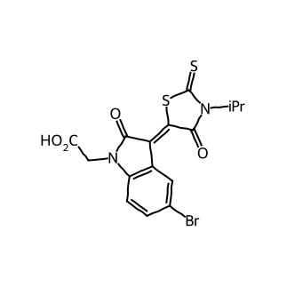 CC(C)N1C(=O)/C(=C2/C(=O)N(CC(=O)O)c3ccc(Br)cc32)SC1=S